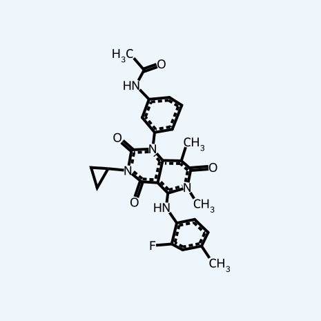 CC(=O)Nc1cccc(-n2c(=O)n(C3CC3)c(=O)c3c(Nc4ccc(C)cc4F)n(C)c(=O)c(C)c32)c1